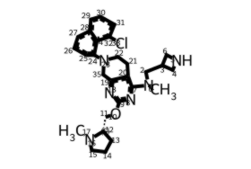 CN(CC1CNC1)c1nc(OC[C@@H]2CCCN2C)nc2c1CCN(c1cccc3cccc(Cl)c13)C2